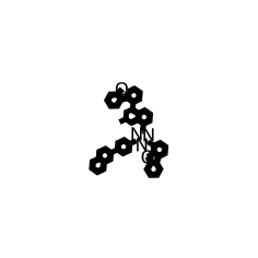 CC1C=c2c(-c3nc(-c4ccc(-c5ccc6ccccc6c5)cc4)nc(-c4cccc5c4oc4ccccc45)n3)cccc2=C(c2cccc3oc4ccccc4c23)C1